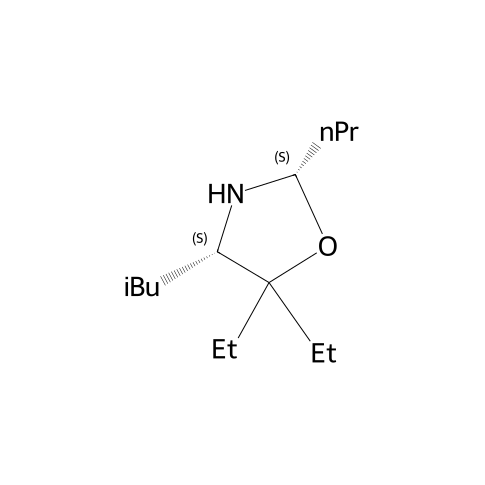 CCC[C@H]1N[C@@H](C(C)CC)C(CC)(CC)O1